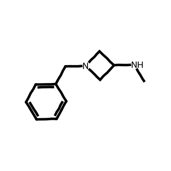 CNC1CN(Cc2ccccc2)C1